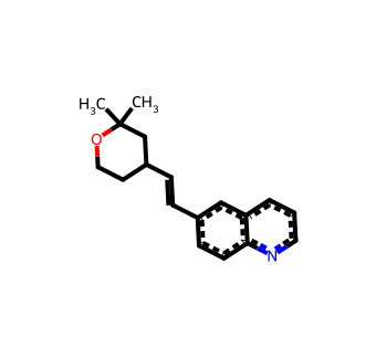 CC1(C)CC(C=Cc2ccc3ncccc3c2)CCO1